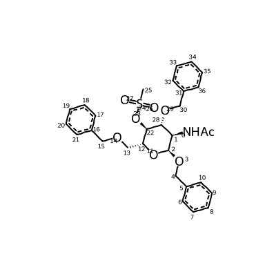 CC(=O)N[C@H]1[C@@H](OCc2ccccc2)O[C@H](COCc2ccccc2)[C@@H](OS(C)(=O)=O)[C@@H]1OCc1ccccc1